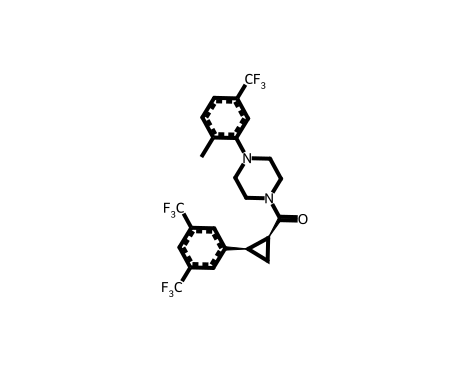 Cc1ccc(C(F)(F)F)cc1N1CCN(C(=O)[C@H]2C[C@H]2c2cc(C(F)(F)F)cc(C(F)(F)F)c2)CC1